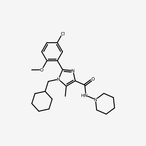 COc1ccc(Cl)cc1-c1nc(C(=O)NN2CCCCC2)c(C)n1CC1CCCCC1